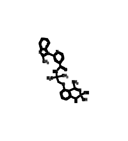 Cc1nc2ccccc2n1-c1cc(C(=O)NC(C)(C)COc2cccc3c2C(N)=NS(O)(O)N3)ccn1